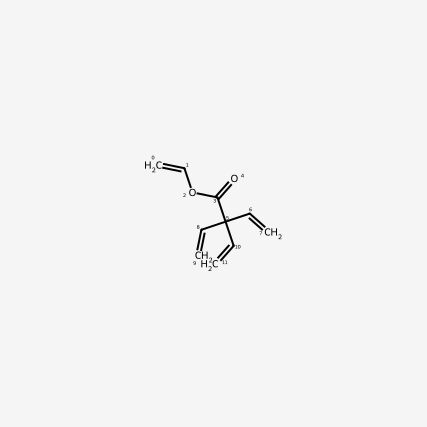 C=COC(=O)C(C=C)(C=C)C=C